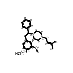 COc1cccc(CC(c2ccccc2)N2CCN(CC=C(C)C)CC2)c1.Cl.Cl